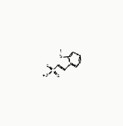 COc1ccccc1/C=C/S(N)(=O)=O